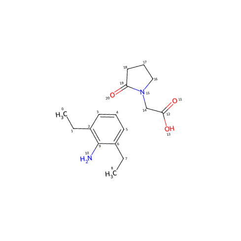 CCc1cccc(CC)c1N.O=C(O)CN1CCCC1=O